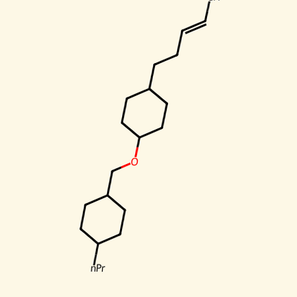 CCCC1CCC(COC2CCC(CCC=CC#N)CC2)CC1